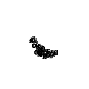 NOC(=O)[C@H]1CN(C(=O)Cc2cccnc2)CCN1S(=O)(=O)c1cc(F)c(Oc2ccc(Cl)cc2)c(F)c1